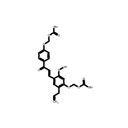 C=CCc1cc(/C=C/C(=O)c2ccc(OCOC(=O)C(C)(C)C)cc2)c(OCCC)cc1OCOC(=O)C(C)(C)C